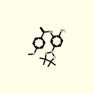 C=C(Nc1cc(B2OC(C)(C)C(C)(C)O2)ccc1N)c1ccc(OC)cc1